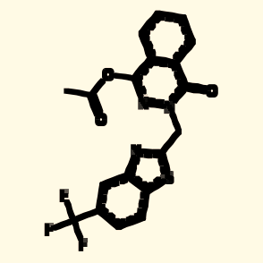 CC(=O)Oc1nn(Cc2nc3cc(C(F)(F)F)ccc3s2)c(=O)c2ccccc12